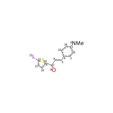 CNc1ccc(C=CC(=O)c2ccc(I)s2)cc1